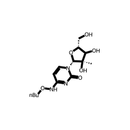 CCCCONc1ccn([C@@H]2O[C@H](CO)C(O)[C@@]2(C)O)c(=O)n1